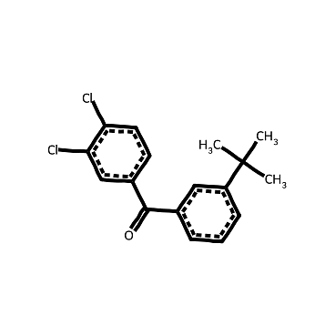 CC(C)(C)c1cccc(C(=O)c2ccc(Cl)c(Cl)c2)c1